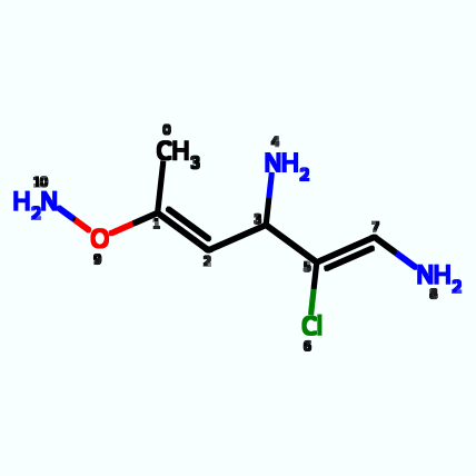 C/C(=C\C(N)/C(Cl)=C/N)ON